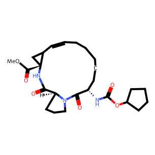 COC(=O)[C@@]12CC1/C=C\CCCCC[C@H](NC(=O)OC1CCCC1)C(=O)N1CCC[C@H]1C(=O)N2